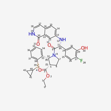 CCOC(=O)[C@H]1CCN(C(=O)[C@H](Nc2ccc3cc[nH]c(=O)c3c2)c2ccc(F)c(O)c2)[C@H]1c1ccccc1SC1CC1